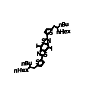 CCCCCCC(CCCC)Cc1ccc(-c2nc3c(I)c4sc(-c5ccc(CC(CCCC)CCCCCC)s5)nc4c(I)c3s2)s1